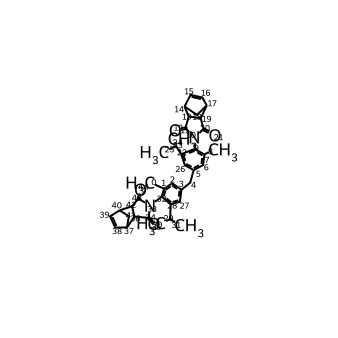 Cc1cc(Cc2cc(C)c(N3C(=O)C4C5C=CC(C5)C4C3=O)c(C(C)C)c2)cc(C(C)C)c1N1C(=O)C2C3C=CC(C3)C2C1=O